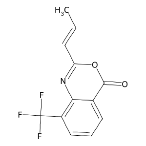 CC=Cc1nc2c(C(F)(F)F)cccc2c(=O)o1